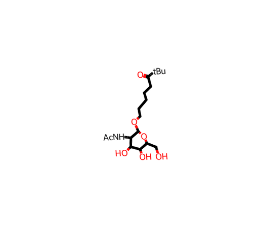 CC(=O)NC1C(OCCCCCC(=O)C(C)(C)C)OC(CO)C(O)C1O